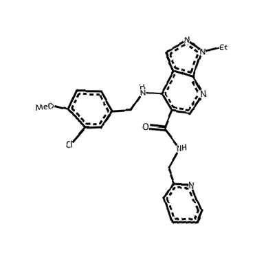 CCn1ncc2c(NCc3ccc(OC)c(Cl)c3)c(C(=O)NCc3ccccn3)cnc21